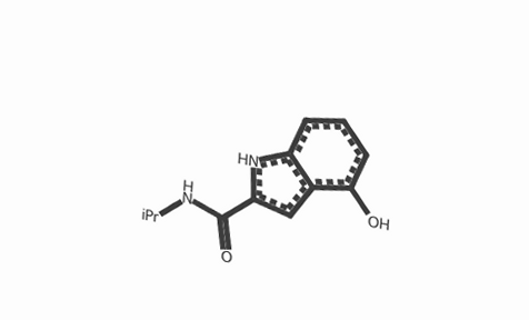 CC(C)NC(=O)c1cc2c(O)cccc2[nH]1